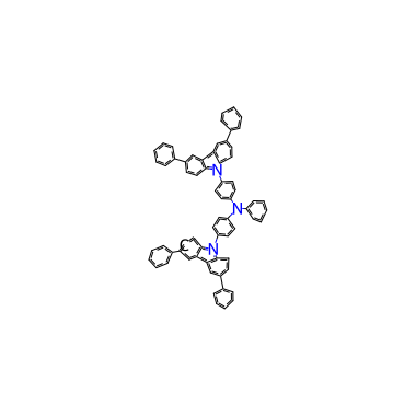 c1ccc(-c2ccc3c(c2)c2cc(-c4ccccc4)ccc2n3-c2ccc(N(c3ccccc3)c3ccc(-n4c5ccc(-c6ccccc6)cc5c5cc(-c6ccccc6)ccc54)cc3)cc2)cc1